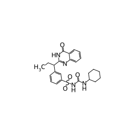 CCC(c1cccc(S(=O)(=O)NC(=O)NC2CCCCC2)c1)c1nc2ccccc2c(=O)[nH]1